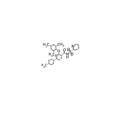 Cc1cc(C)c(Oc2nc(-c3ccc(C(F)(F)F)cc3)ccc2C(=O)NS(=O)(=O)c2ccccn2)c(C)c1